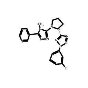 Cn1c(-c2cccnc2)nnc1N1CCC[C@@H]1c1nnn(-c2cccc(Cl)c2)n1